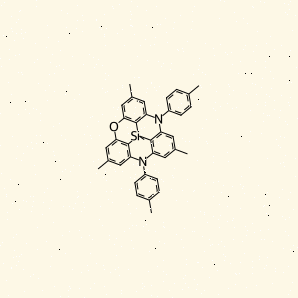 Cc1ccc(N2c3cc(C)cc4c3[Si]3(C)c5c(cc(C)cc5N(c5ccc(C)cc5)c5cc(C)cc2c53)O4)cc1